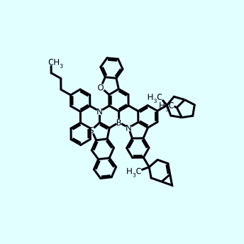 CCCCc1ccc(N2c3sc4cc5ccccc5cc4c3B3c4c(cc5c(oc6ccccc65)c42)-c2cc(C4(C)CC5CCC(C4)C5C)cc4c5cc(C6(C)CC=C7CC7C6)ccc5n3c24)c(-c2ccccc2)c1